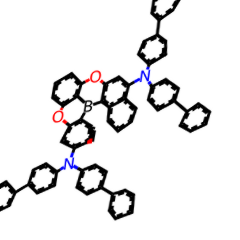 c1ccc(-c2ccc(N(c3ccc(-c4ccccc4)cc3)c3cc4c(c5ccccc35)B3c5c(cccc5Oc5cc(N(c6ccc(-c7ccccc7)cc6)c6ccc(-c7ccccc7)cc6)c6ccccc6c53)O4)cc2)cc1